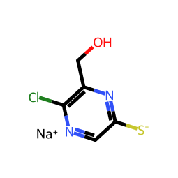 OCc1nc([S-])cnc1Cl.[Na+]